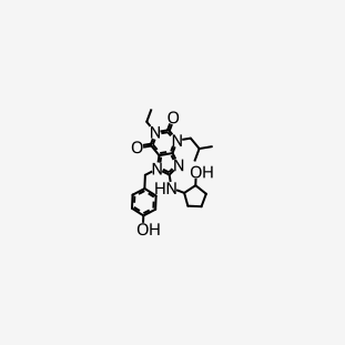 CCn1c(=O)c2c(nc(NC3CCCC3O)n2Cc2ccc(O)cc2)n(CC(C)C)c1=O